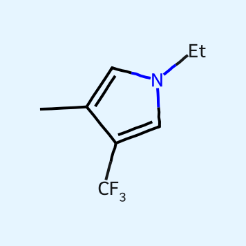 CCn1cc(C)c(C(F)(F)F)c1